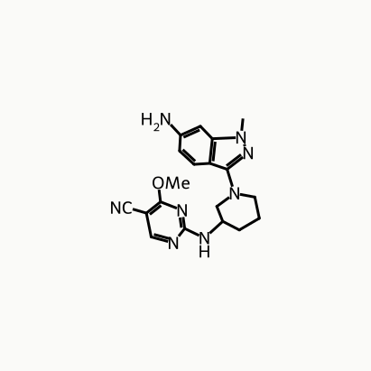 COc1nc(NC2CCCN(c3nn(C)c4cc(N)ccc34)C2)ncc1C#N